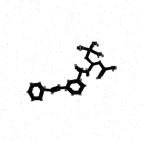 C[N+](C)(C)C[C@@H](CC(=O)O)NC(=O)c1cccc(C#Cc2ccccc2)c1